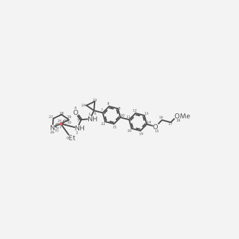 CCC1(NC(=O)NC2(c3ccc(-c4ccc(OCCOC)cc4)cc3)CC2)CN2CCC1CC2